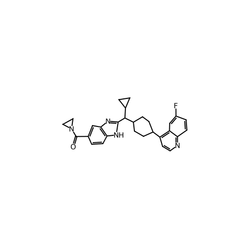 O=C(c1ccc2[nH]c(C(C3CCC(c4ccnc5ccc(F)cc45)CC3)C3CC3)nc2c1)N1CC1